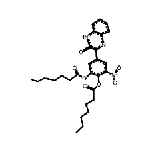 CCCCCCC(=O)Oc1cc(-c2nc3ccccc3[nH]c2=O)cc([N+](=O)[O-])c1OC(=O)CCCCCC